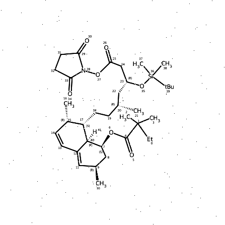 CCC(C)(C)C(=O)O[C@H]1C[C@@H](C)C=C2C=C[C@H](C)[C@H](CC[C@@H](C)C[C@H](CC(=O)ON3C(=O)CCC3=O)O[Si](C)(C)C(C)(C)C)[C@H]21